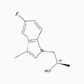 Cc1cn(C[C@@H](C)O)c2ccc(F)cc12